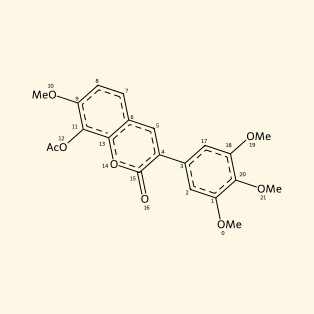 COc1cc(-c2cc3ccc(OC)c(OC(C)=O)c3oc2=O)cc(OC)c1OC